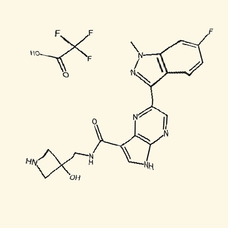 Cn1nc(-c2cnc3[nH]cc(C(=O)NCC4(O)CNC4)c3n2)c2ccc(F)cc21.O=C(O)C(F)(F)F